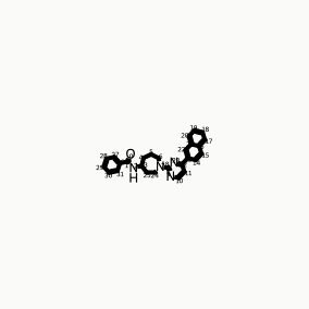 O=C(NC1CCCN(c2nccc(-c3ccc4ccccc4c3)n2)CC1)c1ccccc1